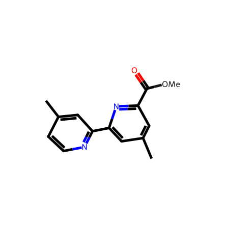 COC(=O)c1cc(C)cc(-c2cc(C)ccn2)n1